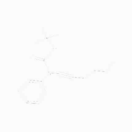 CCCCC#CN(C(=O)OC(C)(C)C)c1ccccc1